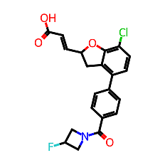 O=C(O)C=CC1Cc2c(-c3ccc(C(=O)N4CC(F)C4)cc3)ccc(Cl)c2O1